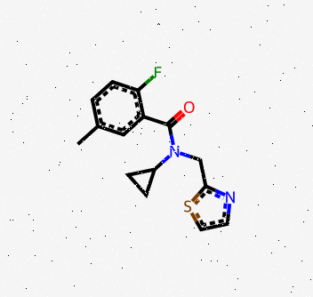 Cc1ccc(F)c(C(=O)N(Cc2nccs2)C2CC2)c1